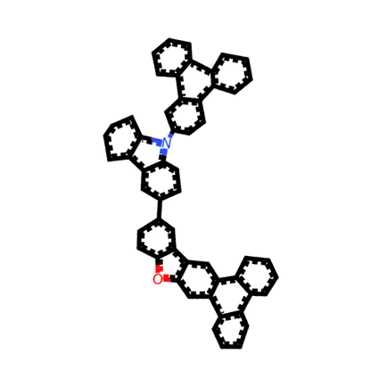 c1ccc2c(c1)c1ccccc1c1cc(-n3c4ccccc4c4cc(-c5ccc6oc7cc8c9ccccc9c9ccccc9c8cc7c6c5)ccc43)ccc21